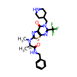 C[C@H](C(=O)NCc1ccccc1)N(C)c1nc2c(=O)n(CC3CCNCC3)c(C(F)(F)F)nc2s1